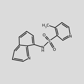 Cc1ccncc1S(=O)(=O)Nc1cccc2cccnc12